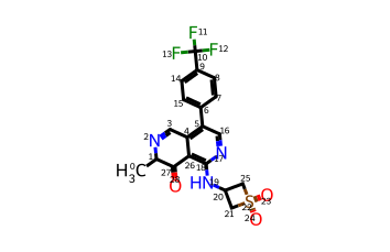 CC1N=Cc2c(-c3ccc(C(F)(F)F)cc3)cnc(NC3CS(=O)(=O)C3)c2C1=O